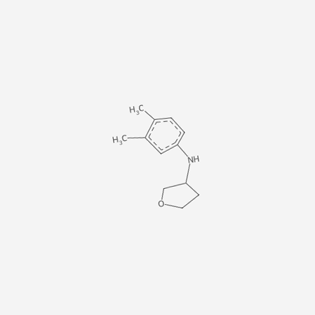 Cc1ccc(NC2CCOC2)cc1C